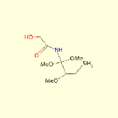 COC(C[SiH3])C(NC(=O)CO)(OC)OC